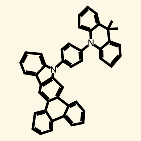 CC1(C)c2ccccc2N(c2ccc(-n3c4ccccc4c4cc5c6ccccc6c6ccccc6c5cc43)cc2)c2ccccc21